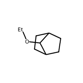 CCOC1C2CCC1CC2